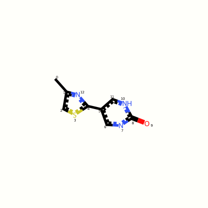 Cc1csc(-c2cnc(=O)[nH]c2)n1